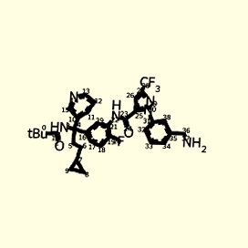 CC(C)(C)C(=O)NC(CCC1CC1)(c1cccnc1)c1ccc(F)c(NC(=O)c2cc(C(F)(F)F)nn2-c2cccc(CN)c2)c1